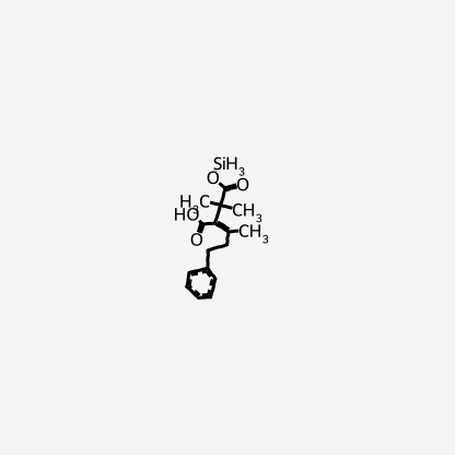 CC(CCc1ccccc1)=C(C(=O)O)C(C)(C)C(=O)O[SiH3]